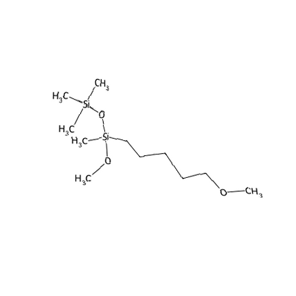 COCCCCC[Si](C)(OC)O[Si](C)(C)C